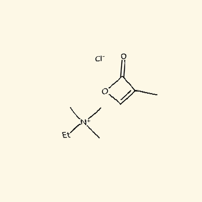 CC1=COC1=O.CC[N+](C)(C)C.[Cl-]